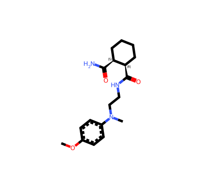 COc1ccc(N(C)CCNC(=O)[C@@H]2CCCC[C@@H]2C(N)=O)cc1